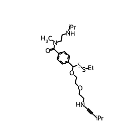 CCSSC(OCCOCCNC#CC(C)C)c1ccc(C(=O)N(C)CCNC(C)C)cc1